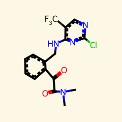 CN(C)C(=O)C(=O)c1ccccc1CNc1nc(Cl)ncc1C(F)(F)F